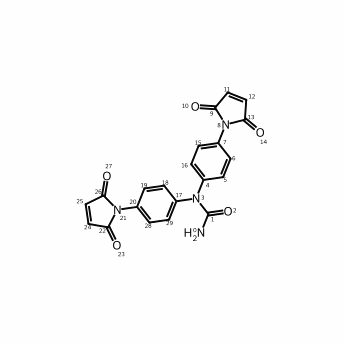 NC(=O)N(c1ccc(N2C(=O)C=CC2=O)cc1)c1ccc(N2C(=O)C=CC2=O)cc1